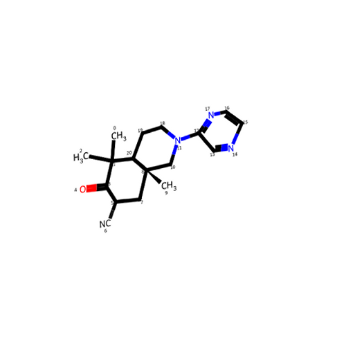 CC1(C)C(=O)C(C#N)C[C@@]2(C)CN(c3cnccn3)CCC12